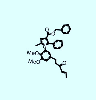 C/C=C/C(=O)CCc1cc(OC)c(OC)c(-n2c(C)cc(C(=O)OCc3ccccc3)c2-c2ccccc2)c1